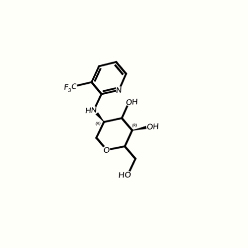 OCC1OC[C@@H](Nc2ncccc2C(F)(F)F)C(O)[C@H]1O